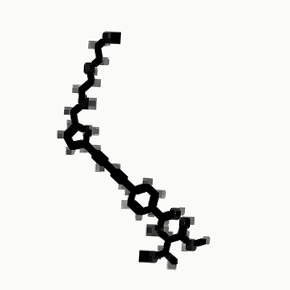 COC(=O)[C@H](NC(=O)c1ccc(C#CC#Cc2ccc(CNCCOCCO)s2)cc1)[C@@H](C)O